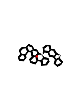 c1ccc(-c2ccccc2N(c2ccc3c(ccc4ccc5ccccc5c43)c2)c2cccc3cc4sc5ccccc5c4cc23)cc1